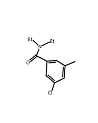 CCN(CC)C(=O)c1cc(C)cc(Cl)c1